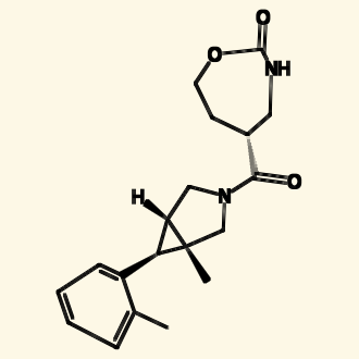 Cc1ccccc1[C@H]1[C@@H]2CN(C(=O)[C@@H]3CCOC(=O)NC3)C[C@@]21C